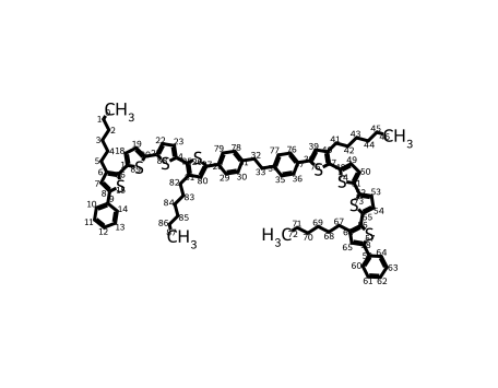 CCCCCCc1cc(-c2ccccc2)sc1-c1ccc(-c2ccc(-c3sc(-c4ccc(CCc5ccc(-c6cc(CCCCCC)c(-c7ccc(-c8ccc(-c9sc(-c%10ccccc%10)cc9CCCCCC)s8)s7)s6)cc5)cc4)cc3CCCCCC)s2)s1